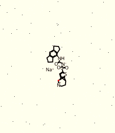 O=C([N-]S(=O)(=O)c1cc2c(s1)C1CCN(CC1)C2)Nc1c2c(cc3c1CCC3)CCC2.[Na+]